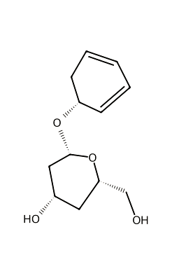 OC[C@@H]1C[C@H](O)C[C@H](O[C@H]2C=CC=CC2)O1